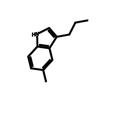 CCCc1c[nH]c2ccc(C)cc12